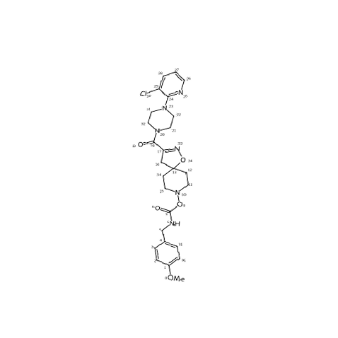 COc1ccc(CNC(=O)ON2CCC3(CC2)CC(C(=O)N2CCN(c4ncccc4Cl)CC2)=NO3)cc1